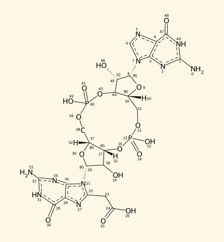 Nc1nc2c(ncn2[C@@H]2O[C@@H]3COP(=O)(O)O[C@@H]4C(O)[C@H](n5c(CC(=O)O)nc6c(=O)[nH]c(N)nc65)O[C@@H]4COP(=O)(O)OC3[C@@H]2O)c(=O)[nH]1